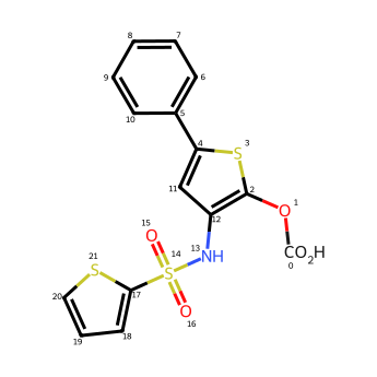 O=C(O)Oc1sc(-c2ccccc2)cc1NS(=O)(=O)c1cccs1